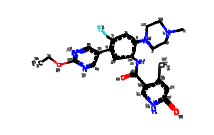 CN1CCN(c2cc(F)c(-c3cnc(OCC(F)(F)F)nc3)cc2NC(=O)c2c[nH]c(=O)cc2C(F)(F)F)CC1